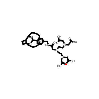 O=C(O)CN(CCN(CCN(CC(=O)O)CC(=O)O)CC(=O)NCc1ccc(C2OC3CCCCCCCCCC4(CCC34)O2)cc1)CC(=O)O